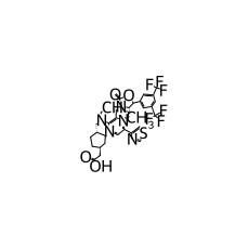 CCN(C[C@H]1CC[C@H](CC(=O)O)CC1)c1ncc(-c2cscn2)nc1CN1C(=O)OC(c2cc(C(F)(F)F)cc(C(F)(F)F)c2)[C@@H]1C